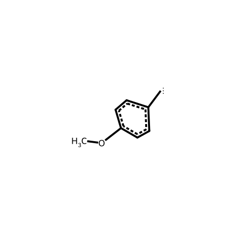 [C]c1ccc(OC)cc1